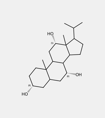 CC(C)C1CCC2C3C(C[C@H](O)C12C)C1(C)CC[C@@H](O)CC1C[C@H]3O